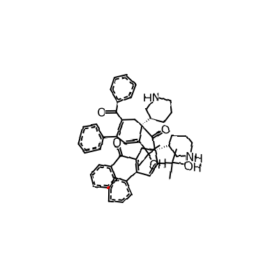 CC(C)(O)C1=CC(c2ccccc2)=C(C(=O)c2ccccc2)C[C@]1(C(=O)[C@]1(C2CCCNC2)CC(C(=O)c2ccccc2)=C(c2ccccc2)C=C1C(C)(C)O)C1CCCNC1